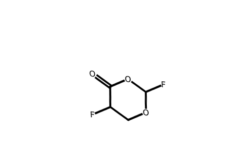 O=C1OC(F)OCC1F